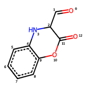 O=CC1Nc2ccccc2OC1=O